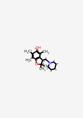 Cc1c(C)c2c(c(C)c1O)C(CN1CCCCC1)C(C)(C)O2